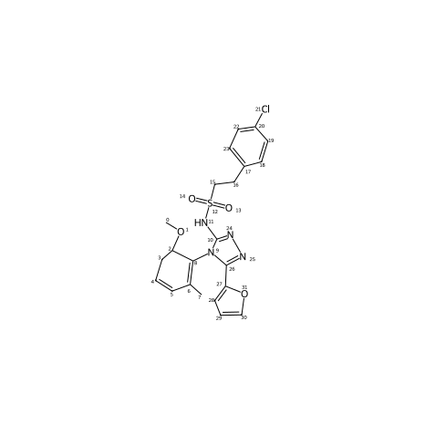 COC1CC=CC(C)=C1n1c(NS(=O)(=O)CCc2ccc(Cl)cc2)nnc1-c1ccco1